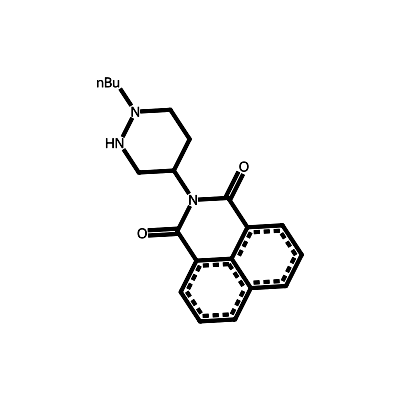 CCCCN1CCC(N2C(=O)c3cccc4cccc(c34)C2=O)CN1